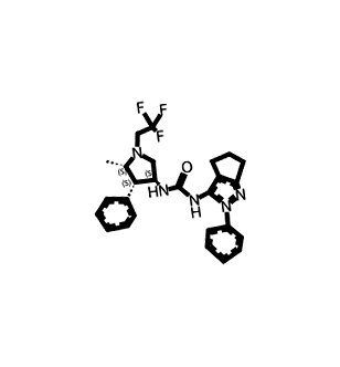 C[C@H]1[C@@H](c2ccccc2)[C@H](NC(=O)Nc2c3c(nn2-c2ccccc2)CCC3)CN1CC(F)(F)F